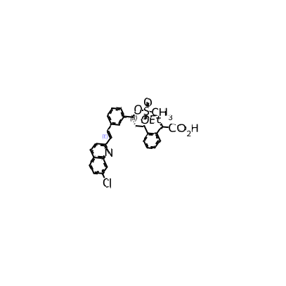 CCC(C(=O)O)c1ccccc1CC[C@@H](OS(C)(=O)=O)c1cccc(/C=C/c2ccc3ccc(Cl)cc3n2)c1